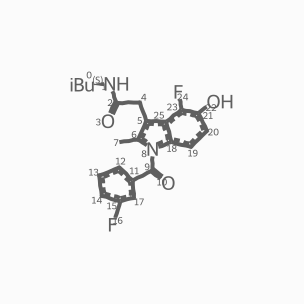 CC[C@H](C)NC(=O)Cc1c(C)n(C(=O)c2cccc(F)c2)c2ccc(O)c(F)c12